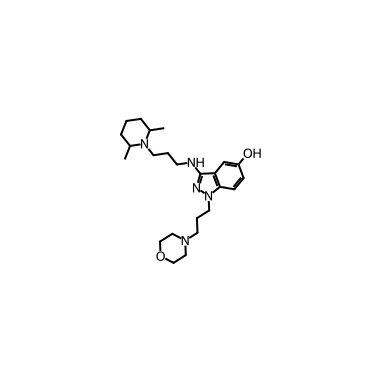 CC1CCCC(C)N1CCCNc1nn(CCCN2CCOCC2)c2ccc(O)cc12